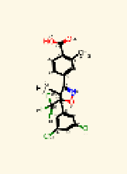 Cc1cc(C2=NOC(c3cc(Cl)cc(Cl)c3)(C(F)(F)F)C2C)ccc1C(=O)O